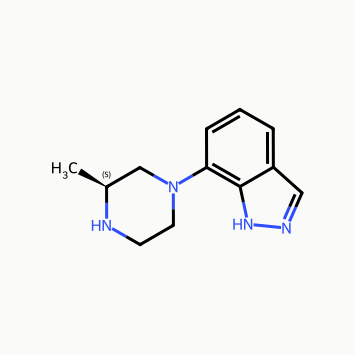 C[C@H]1CN(c2cccc3cn[nH]c23)CCN1